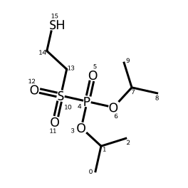 CC(C)OP(=O)(OC(C)C)S(=O)(=O)CCS